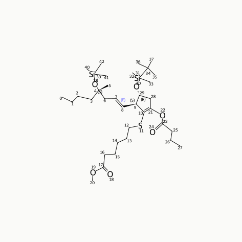 CCCC[C@@](C)(C/C=C/[C@@H]1C(SCCCCCC(=O)OC)=C(OC(=O)CCC)C[C@H]1O[Si](C)(C)C(C)(C)C)O[Si](C)(C)C